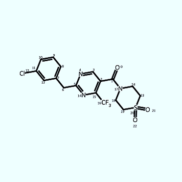 O=C(c1cnc(Cc2cccc(Cl)c2)nc1C(F)(F)F)N1CCS(=O)(=O)CC1